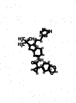 CC(C)(C)C1Cc2cc(NC(=O)C3(c4ccc5c(c4)OCO5)CC3)ccc2N1CCc1nn[nH]n1